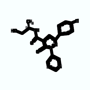 C[C@@H](CO)NC(=O)c1cc(-c2ccc(Cl)cc2)nn(-c2cncnc2)c1=O